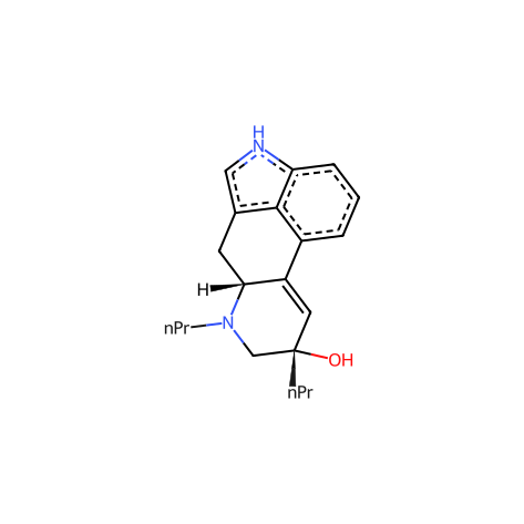 CCCN1C[C@](O)(CCC)C=C2c3cccc4[nH]cc(c34)C[C@H]21